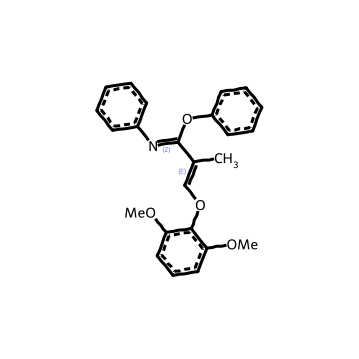 COc1cccc(OC)c1O/C=C(C)/C(=N/c1ccccc1)Oc1ccccc1